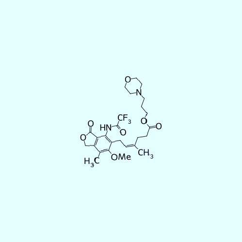 COc1c(C)c2c(c(NC(=O)C(F)(F)F)c1CC=C(C)CCC(=O)OCCCN1CCOCC1)C(=O)OC2